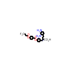 Nc1ccc(CC/C(=C\c2ccc(OC(=O)c3ccc(OC(=O)CCC(F)(F)F)cc3)cc2)C(=O)O)c(N)c1